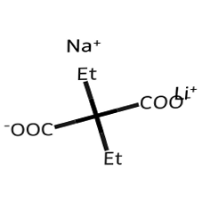 CCC(CC)(C(=O)[O-])C(=O)[O-].[Li+].[Na+]